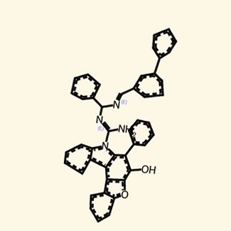 N/C(=N\C(/N=C/c1cccc(-c2ccccc2)c1)c1ccccc1)n1c2ccccc2c2c3c(oc4ccccc43)c(O)c(-c3ccccc3)c21